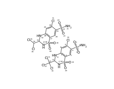 NS(=O)(=O)c1cc2c(cc1Cl)NC(C(Cl)(Cl)Cl)NS2(=O)=O.NS(=O)(=O)c1cc2c(cc1Cl)NC(C(Cl)Cl)NS2(=O)=O